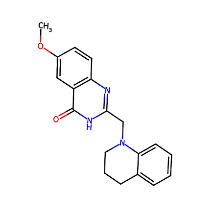 COc1ccc2nc(CN3CCCc4ccccc43)[nH]c(=O)c2c1